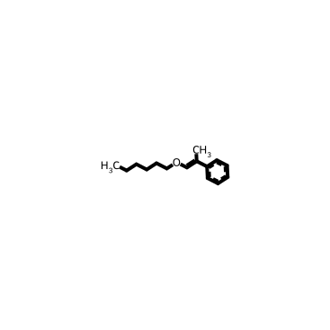 CCCCCCOC=C(C)c1ccccc1